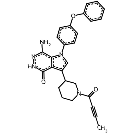 CC#CC(=O)N1CCCC(c2cn(-c3ccc(Oc4ccccc4)cc3)c3c(N)n[nH]c(=O)c23)C1